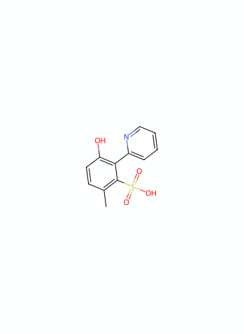 Cc1ccc(O)c(-c2ccccn2)c1S(=O)(=O)O